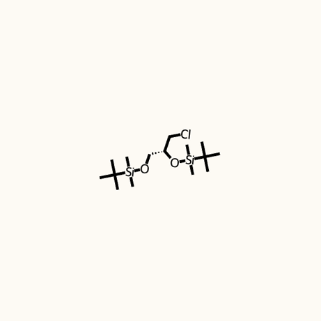 CC(C)(C)[Si](C)(C)OC[C@H](CCl)O[Si](C)(C)C(C)(C)C